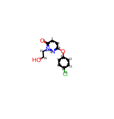 O=c1ccc(Oc2ccc(Cl)cc2)nn1CCO